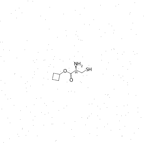 N[C@@H](CS)C(=O)OC1CCC1